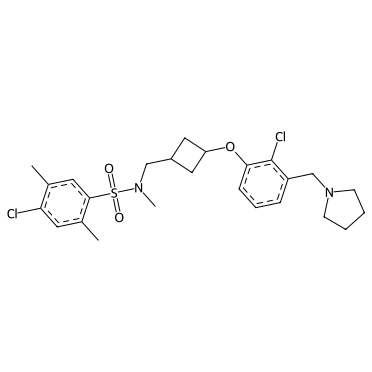 Cc1cc(S(=O)(=O)N(C)CC2CC(Oc3cccc(CN4CCCC4)c3Cl)C2)c(C)cc1Cl